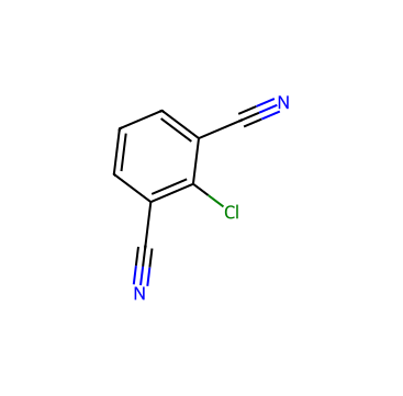 N#Cc1cccc(C#N)c1Cl